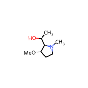 CO[C@H]1CCN(C)[C@@H]1[C@H](C)O